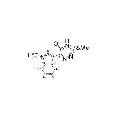 CSc1nnc(-c2cn(C)c3ccccc23)c(=O)[nH]1